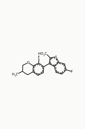 CC1COc2c(ccc(-c3c(C(=O)O)sc4cc(F)ccc34)c2F)C1